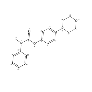 CN(C(=O)Oc1ccc(N2CCOCC2)cc1)c1ccccc1